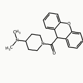 CN(C)C1CCN(C(=O)C2c3ccccc3Oc3ccccc32)CC1